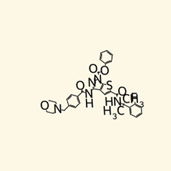 CC(C)(NC(=O)c1cc2c(NC(=O)c3ccc(CN4CCOCC4)cc3)nn(C(=O)Oc3ccccc3)c2s1)c1ccccc1F